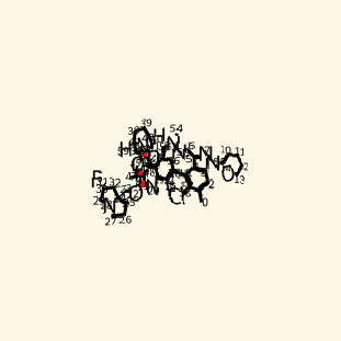 Cc1cc2c(c(C)nn2C2CCCCO2)c(-c2c(F)c3nc(OC[C@@]45CCCN4C[C@H](F)C5)nc(N4C[C@H]5CC[C@@H](C4)N5C(=O)OC(C)(C)C)c3c3cn(C)nc23)c1Cl